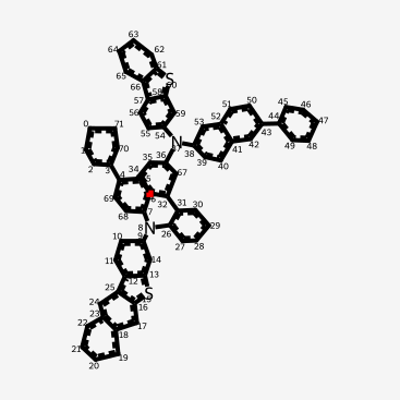 c1ccc(-c2ccc(N(c3ccc4c(c3)sc3cc5ccccc5cc34)c3ccccc3-c3cccc(N(c4ccc5cc(-c6ccccc6)ccc5c4)c4ccc5c(c4)sc4ccccc45)c3)cc2)cc1